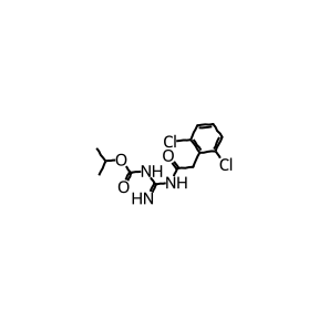 CC(C)OC(=O)NC(=N)NC(=O)Cc1c(Cl)cccc1Cl